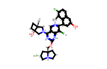 CCc1c(F)ccc2cc(O)cc(-c3ncc4c(N5C[C@H]6CC[C@@]6(O)C5)nc(OC[C@@]56CCCN5C[C@H](F)C6)nc4c3F)c12